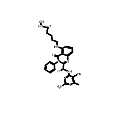 CCC(Nc1nc(N)nc(C)c1C#N)c1nc2cccc(NCCCCC(=O)NO)c2c(=O)n1-c1ccccc1